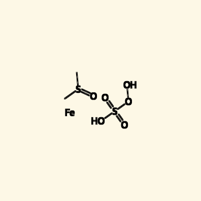 CS(C)=O.O=S(=O)(O)OO.[Fe]